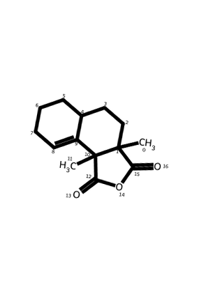 CC12CCC3CCCC=C3C1(C)C(=O)OC2=O